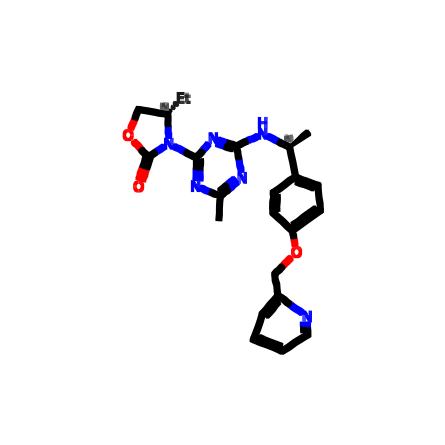 CC[C@H]1COC(=O)N1c1nc(C)nc(N[C@@H](C)c2ccc(OCc3ccccn3)cc2)n1